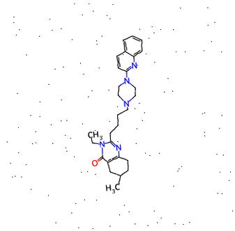 CCn1c(CCCCN2CCN(c3ccc4ccccc4n3)CC2)nc2c(c1=O)CC(C)CC2